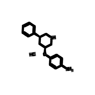 Cl.Nc1ccc(O[C@@H]2CNC[C@H](c3ccccc3)C2)cc1